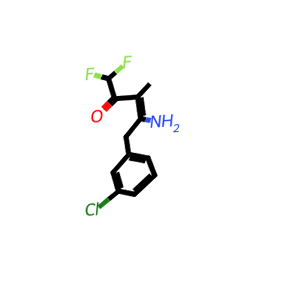 C/C(C(=O)C(F)F)=C(\N)Cc1cccc(Cl)c1